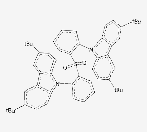 CC(C)(C)c1ccc2c(c1)c1cc(C(C)(C)C)ccc1n2-c1ccccc1S(=O)(=O)c1ccccc1-n1c2ccc(C(C)(C)C)cc2c2cc(C(C)(C)C)ccc21